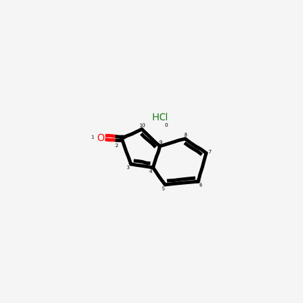 Cl.O=C1C=c2ccccc2=C1